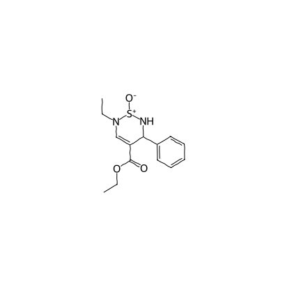 CCOC(=O)C1=CN(CC)[S+]([O-])NC1c1ccccc1